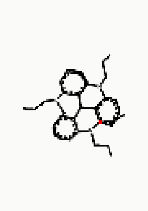 CCCN(CCC)c1ccccc1[C](c1ccccc1N(CCC)CCC)c1ccccc1N(CCC)CCC